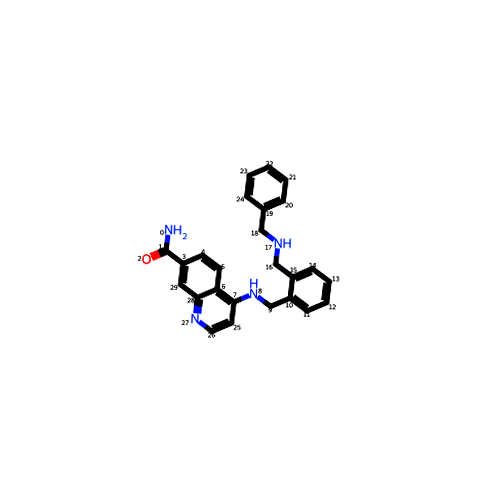 NC(=O)c1ccc2c(NCc3ccccc3CNCc3ccccc3)ccnc2c1